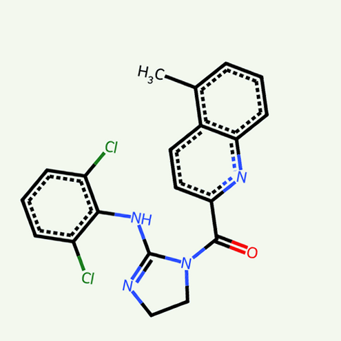 Cc1cccc2nc(C(=O)N3CCN=C3Nc3c(Cl)cccc3Cl)ccc12